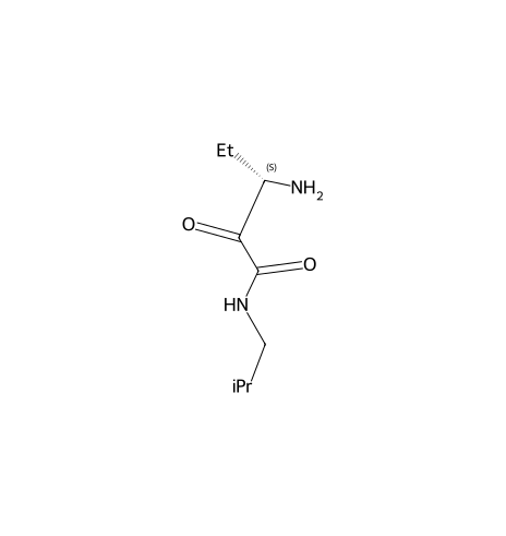 CC[C@H](N)C(=O)C(=O)NCC(C)C